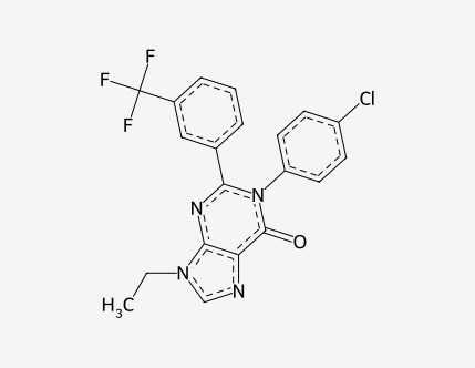 CCn1cnc2c(=O)n(-c3ccc(Cl)cc3)c(-c3cccc(C(F)(F)F)c3)nc21